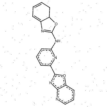 C1=CCC2OC(Nc3cccc(-c4nc5ncccc5o4)n3)=NC2=C1